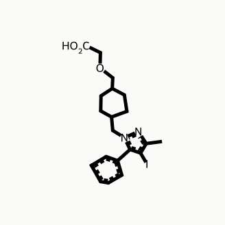 Cc1nn(CC2CCC(COCC(=O)O)CC2)c(-c2ccccc2)c1I